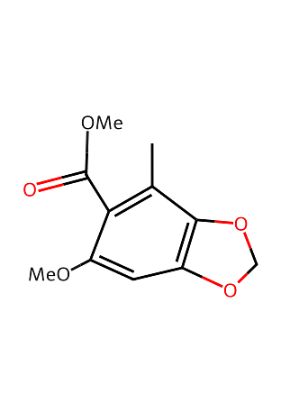 COC(=O)c1c(OC)cc2c(c1C)OCO2